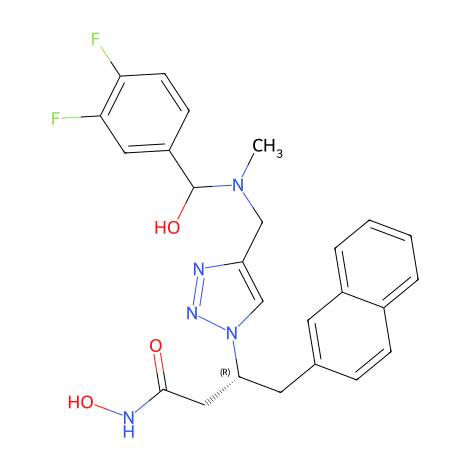 CN(Cc1cn([C@@H](CC(=O)NO)Cc2ccc3ccccc3c2)nn1)C(O)c1ccc(F)c(F)c1